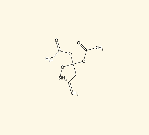 C=CCC(O[SiH3])(OC(C)=O)OC(C)=O